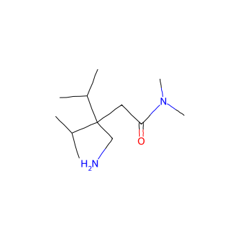 CC(C)C(CN)(CC(=O)N(C)C)C(C)C